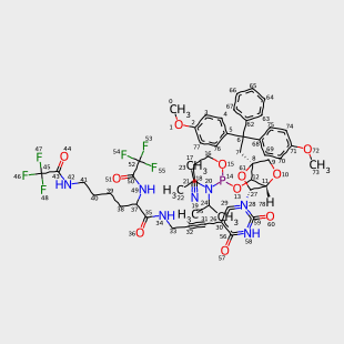 COc1ccc(C(C[C@]23CO[C@@H](C2OP(OCCC#N)N(C(C)C)C(C)C)[C@H](n2cc(C#CCNC(=O)C(CCCCNC(=O)C(F)(F)F)NC(=O)C(F)(F)F)c(=O)[nH]c2=O)O3)(c2ccccc2)c2ccc(OC)cc2)cc1